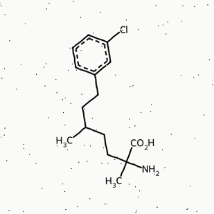 CC(CCc1cccc(Cl)c1)CCC(C)(N)C(=O)O